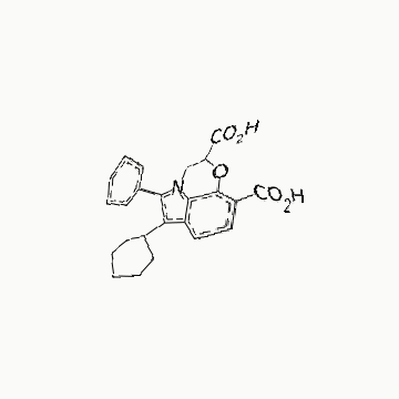 O=C(O)c1ccc2c(C3CCCCC3)c(-c3ccccc3)n3c2c1OC(C(=O)O)C3